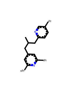 CCCc1cc(CC(C)Cc2ccc(C(C)C)cn2)cc(C(C)C)n1